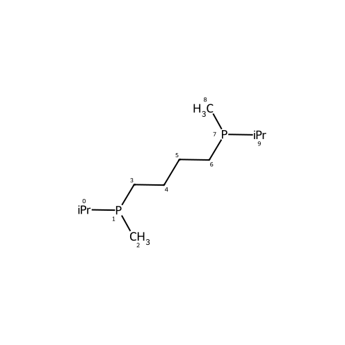 CC(C)P(C)CCCCP(C)C(C)C